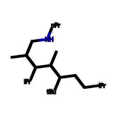 CCCNCC(C)C(C(C)C)C(C)C(CCC(C)C)C(C)(C)C